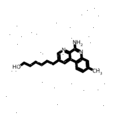 Cc1ccc2c(c1)nc(N)c1ncc(CCCCCCO)cc12